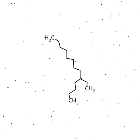 [CH2]CCCCCCCC(C[CH2])CCCC